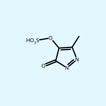 CC1=C(OS(=O)(=O)O)C(=O)N=N1